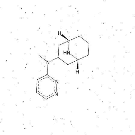 CN(c1cccnn1)C1C[C@H]2CCC[C@@H](C1)N2